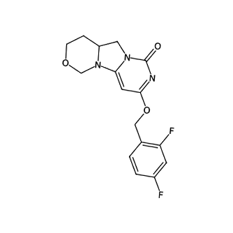 O=c1nc(OCc2ccc(F)cc2F)cc2n1CC1CCOCN21